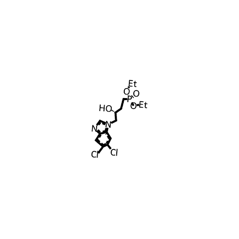 CCOP(=O)(CC[C@@H](O)Cn1cnc2cc(Cl)c(Cl)cc21)OCC